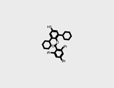 CC(C)c1cc(C(C)C)c(C(=O)Oc2c(C3CCCCC3)cc(S)cc2C2CCCCC2)c(C(C)C)c1